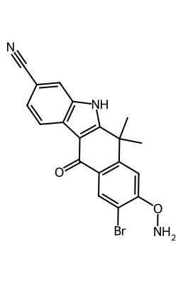 CC1(C)c2cc(ON)c(Br)cc2C(=O)c2c1[nH]c1cc(C#N)ccc21